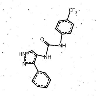 O=C(Nc1ccc(C(F)(F)F)cc1)Nc1c[nH]nc1-c1ccccc1